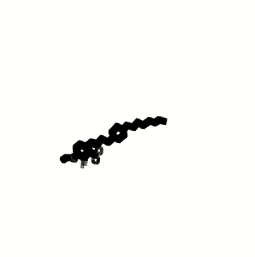 CCCCCCCCC1CCC(CCc2cc3ccc(OCC)c(F)c3c(=O)o2)CC1